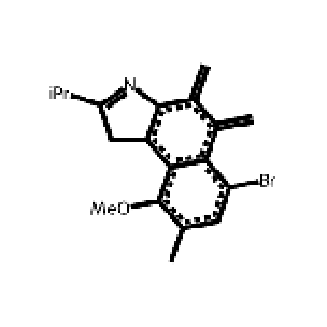 C=c1c2c(c3c(OC)c(C)cc(Br)c3c1=C)CC(C(C)C)=N2